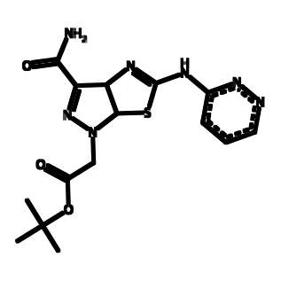 CC(C)(C)OC(=O)CN1N=C(C(N)=O)C2N=C(Nc3cccnn3)SC21